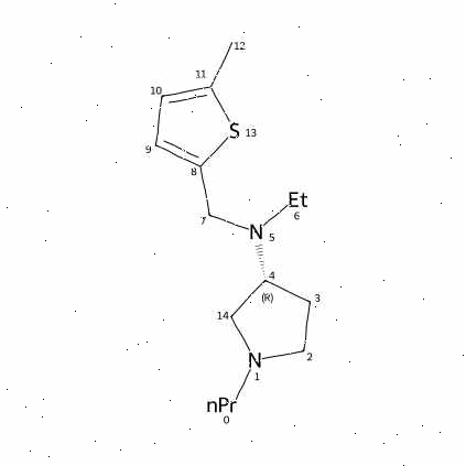 C[CH]CN1CC[C@@H](N(CC)Cc2ccc(C)s2)C1